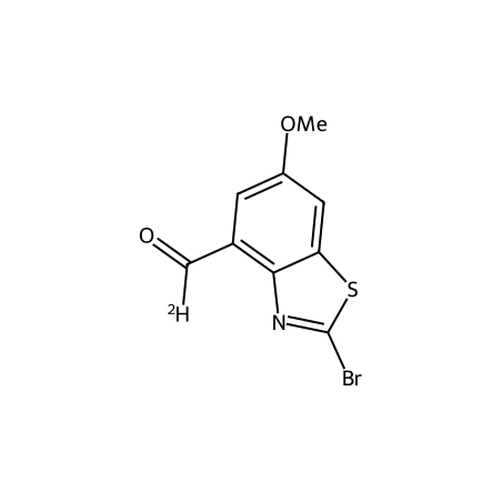 [2H]C(=O)c1cc(OC)cc2sc(Br)nc12